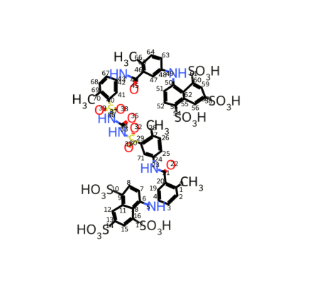 Cc1ccc(Nc2ccc(S(=O)(=O)O)c3cc(S(=O)(=O)O)cc(S(=O)(=O)O)c23)cc1C(=O)Nc1ccc(C)c(S(=O)(=O)NC(=O)NS(=O)(=O)c2cc(NC(=O)c3cc(Nc4ccc(S(=O)(=O)O)c5cc(S(=O)(=O)O)cc(S(=O)(=O)O)c45)ccc3C)ccc2C)c1